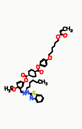 C=CC(=O)OCCCCCCOc1ccc(OC(=O)[C@H]2CC[C@H](C(=O)Oc3ccc(OC)c(/C=N\N(CCCCCC)c4nc5ccccc5s4)c3)CC2)cc1